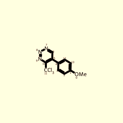 COc1ccc(-c2cnnnc2C(Cl)(Cl)Cl)cc1